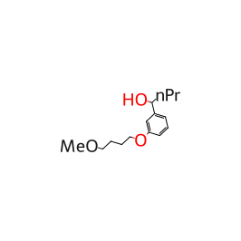 CCCC(O)c1cccc(OCCCCOC)c1